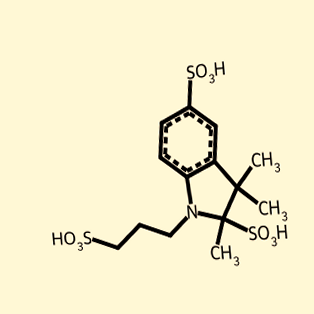 CC1(C)c2cc(S(=O)(=O)O)ccc2N(CCCS(=O)(=O)O)C1(C)S(=O)(=O)O